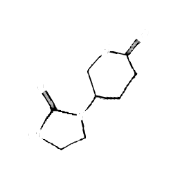 O=C1CCC(N2CCNC2=O)CN1